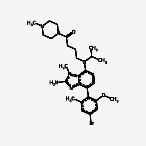 COc1cc(Br)cc(C)c1-c1ccc(N(CCCC(=O)N2CCN(C)CC2)C(C)C)c2c1nc(N)n2C